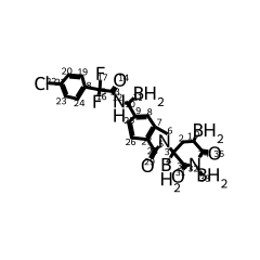 BC1CC(B)(N2Cc3cc(C(B)NC(=O)C(F)(F)c4ccc(Cl)cc4)ccc3C2=O)C(=O)N(B)C1=O